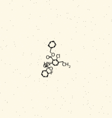 C=Cc1ccc(NS(=O)(=O)c2ccccc2F)c(C(=O)OCc2ccccc2)c1Cl